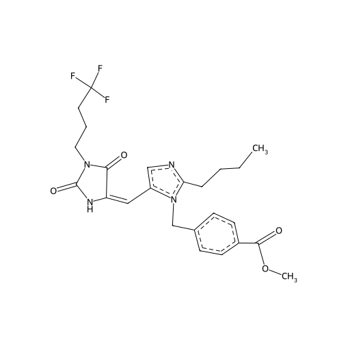 CCCCc1ncc(C=C2NC(=O)N(CCCC(F)(F)F)C2=O)n1Cc1ccc(C(=O)OC)cc1